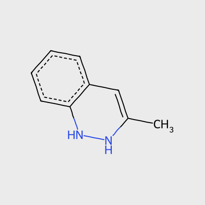 CC1=Cc2ccccc2NN1